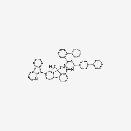 CC1(C)c2cc(-n3c4ccccc4c4cccnc43)ccc2-c2cccc(-c3nc(-c4ccc(-c5ccccc5)cc4)nc(-c4ccccc4-c4ccccc4)n3)c21